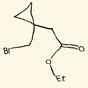 CCOC(=O)CC1(CBr)CC1